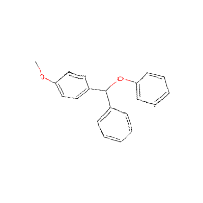 COc1ccc(C(Oc2c[c]ccc2)c2ccccc2)cc1